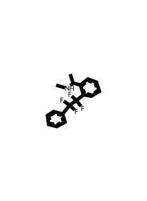 CNC(C)c1ccccc1C(F)(F)C(F)(F)c1ccccc1